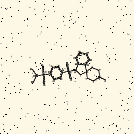 CN1CCC2(CC1)CN(S(=O)(=O)c1ccc(S(=O)(=O)N(C)C)cc1)c1ccccc12